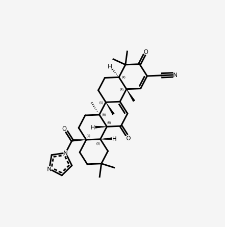 CC1(C)CC[C@]2(C(=O)n3ccnc3)CC[C@]3(C)[C@H](C(=O)C=C4[C@@]5(C)C=C(C#N)C(=O)C(C)(C)[C@@H]5CC[C@]43C)[C@@H]2C1